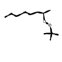 CCCCCCC(C)OOC(C)(C)C